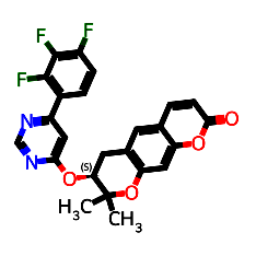 CC1(C)Oc2cc3oc(=O)ccc3cc2C[C@@H]1Oc1cc(-c2ccc(F)c(F)c2F)ncn1